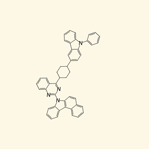 c1ccc(-n2c3ccccc3c3cc(C4CCC(c5nc(-n6c7ccccc7c7c8ccccc8ccc76)nc6ccccc56)CC4)ccc32)cc1